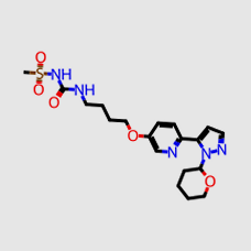 CS(=O)(=O)NC(=O)NCCCCOc1ccc(-c2ccnn2C2CCCCO2)nc1